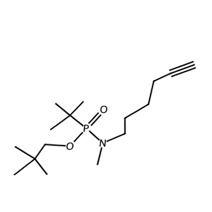 C#CCCCCN(C)P(=O)(OCC(C)(C)C)C(C)(C)C